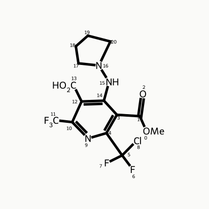 COC(=O)c1c(C(F)(F)Cl)nc(C(F)(F)F)c(C(=O)O)c1NN1CCCC1